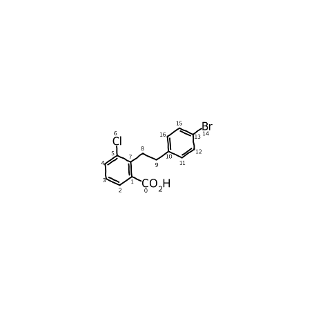 O=C(O)c1cccc(Cl)c1CCc1ccc(Br)cc1